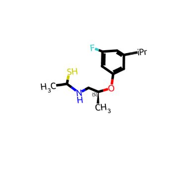 CC(S)NC[C@H](C)Oc1cc(F)cc(C(C)C)c1